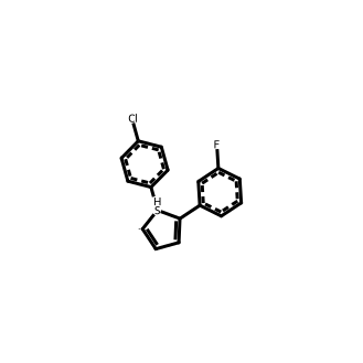 Fc1cccc(C2=CC=[C][SH]2c2ccc(Cl)cc2)c1